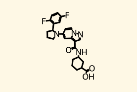 O=C(NC1CCCC(C(=O)O)C1)c1cnn2ccc(N3CCCC3c3cc(F)ccc3F)cc12